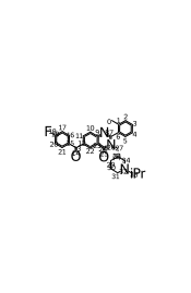 Cc1ccccc1-c1nc2ccc(C(=O)c3ccc(F)cc3)cc2c(=O)n1C[C@H]1CCCN(C(C)C)C1